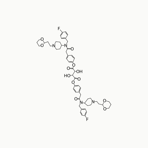 O=C(Oc1ccc(CC(=O)N(Cc2ccc(F)cc2)C2CCN(CCC3OCCCO3)CC2)cc1)C(O)C(O)C(=O)Oc1ccc(CC(=O)N(Cc2ccc(F)cc2)C2CCN(CCC3OCCCO3)CC2)cc1